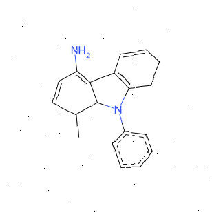 CC1C=CC(N)=C2C3=C(CCC=C3)N(c3ccccc3)C21